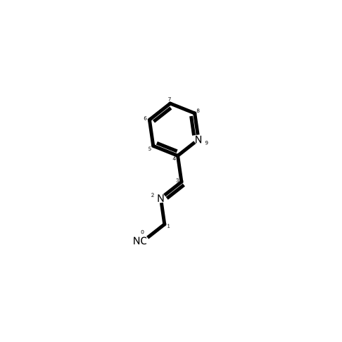 N#CC/N=C/c1ccccn1